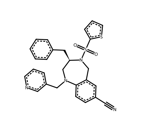 N#Cc1ccc2c(c1)CN(S(=O)(=O)c1cccs1)[C@H](Cc1ccccc1)CN2Cc1cccnc1